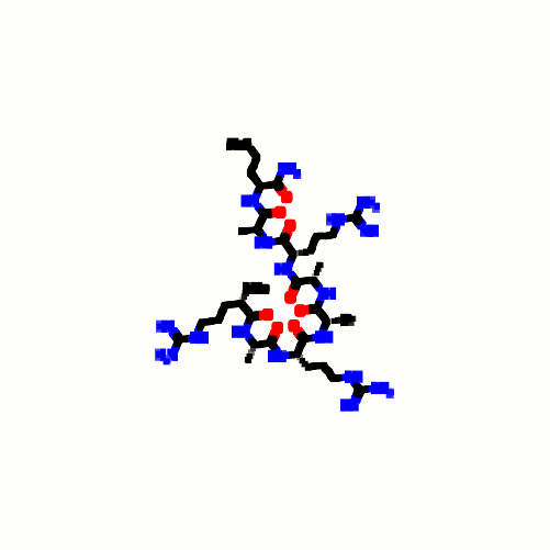 CN[C@@H](CCCNC(=N)N)C(=O)N[C@@H](C)C(=O)N[C@@H](CCCNC(=N)N)C(=O)N[C@H](C(=O)N[C@@H](C)C(=O)N[C@@H](CCCNC(=N)N)C(=O)N[C@@H](C)C(=O)N[C@@H](CCSC)C(N)=O)C(C)C